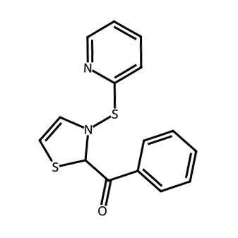 O=C(c1ccccc1)C1SC=CN1Sc1ccccn1